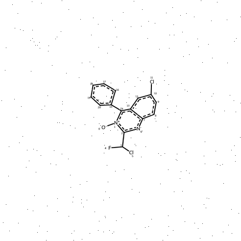 [O-][n+]1c(C(F)Cl)nc2ccc(Cl)cc2c1-c1ccccc1